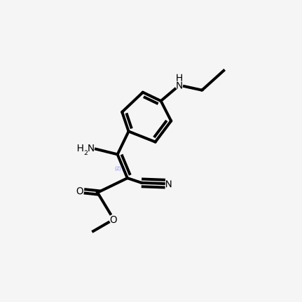 CCNc1ccc(/C(N)=C(\C#N)C(=O)OC)cc1